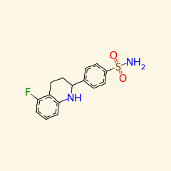 NS(=O)(=O)c1ccc(C2CCc3c(F)cccc3N2)cc1